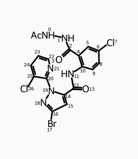 CC(=O)NNC(=O)c1cc(Cl)ccc1NC(=O)c1cc(Br)nn1-c1ncccc1Cl